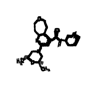 C[C@@H]1CN(c2cc(C(=O)Nc3cccnc3)c3c(n2)CCOCC3)C[C@H](C)O1